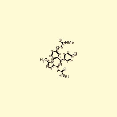 CCNC(=O)C[C@@H]1N=C(c2ccc(Cl)cc2)c2cc(OCC(=O)NC)ccc2-n2c(C)nnc21